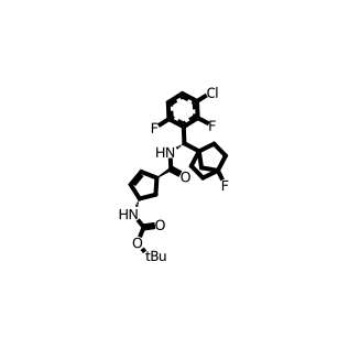 CC(C)(C)OC(=O)N[C@@H]1C=C[C@@H](C(=O)N[C@H](c2c(F)ccc(Cl)c2F)C23CCC(F)(CC2)C3)C1